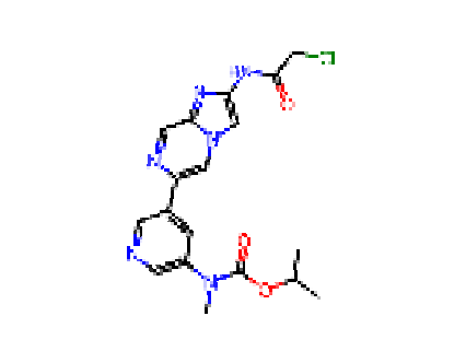 CC(C)OC(=O)N(C)c1cncc(-c2cn3cc(NC(=O)CCl)nc3cn2)c1